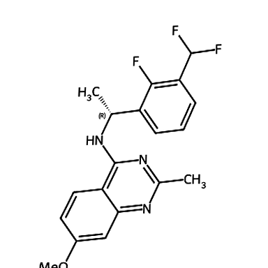 COc1ccc2c(N[C@H](C)c3cccc(C(F)F)c3F)nc(C)nc2c1